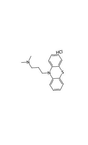 CN(C)CCCN1c2ccccc2Sc2ccccc21.Cl